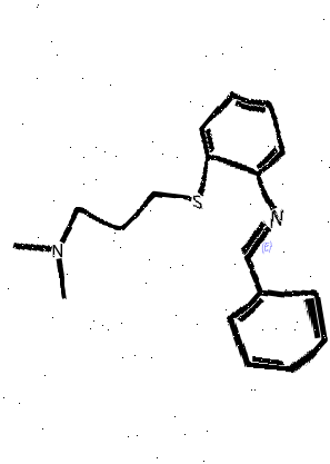 CN(C)CCCSc1ccccc1/N=C/c1ccccc1